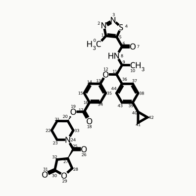 Cc1nnsc1C(=O)NC(C)C(Oc1ccc(C(=O)O[C@H]2CCCN(C(=O)[C@H]3COC(=O)C3)C2)cc1)c1ccc(C2CC2)cc1